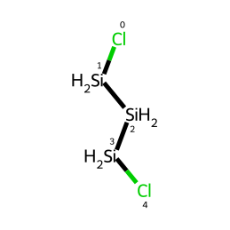 Cl[SiH2][SiH2][SiH2]Cl